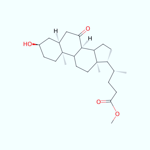 COC(=O)CC[C@@H](C)[C@H]1CCC2[C@@H]3C(=O)C[C@@H]4C[C@H](O)CC[C@]4(C)C3CC[C@@]21C